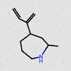 C=CC(=C)C1CCCNC(C)C1